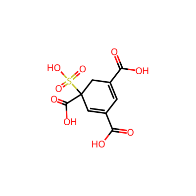 O=C(O)C1=CC(C(=O)O)(S(=O)(=O)O)CC(C(=O)O)=C1